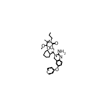 CCCN(C(=O)OC[C@@H](C1CCCCC1)N1Cc2cc(Oc3ccccc3)ccc2N=C1N)[C@H](C)C(=O)OC